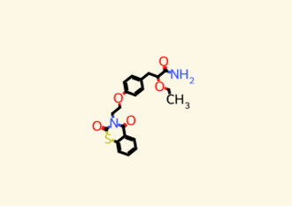 CCOC(Cc1ccc(OCCn2c(=O)sc3ccccc3c2=O)cc1)C(N)=O